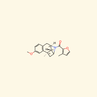 COc1ccc2c(c1)[C@]1(C)CC3[C@H]1[C@@H](C2)N3C(=O)c1occc1C